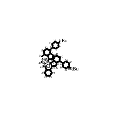 CC1=Cc2c(-c3ccc(C(C)(C)C)cc3)ccc(C)c2[CH]1[Zr]([Cl])([Cl])([CH]1C(c2ccccc2C)=Cc2c(-c3ccc(C(C)(C)C)cc3)cccc21)[SiH](C)C